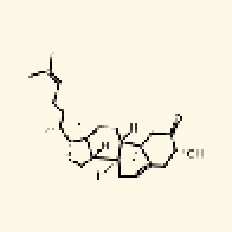 CC(C)=CCC[C@@H](C)[C@H]1CC[C@H]2[C@@H]3CC=C4C[C@@H](O)C(=O)C[C@]4(C)[C@H]3CC[C@]12C